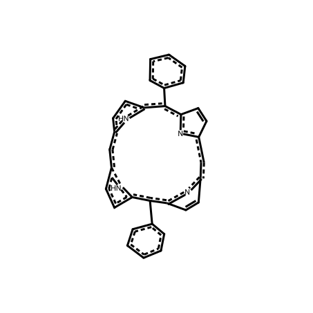 C1=Cc2nc1cc1nc(c(-c3ccccc3)c3ccc(cc4ccc([nH]4)c2-c2ccccc2)[nH]3)C=C1